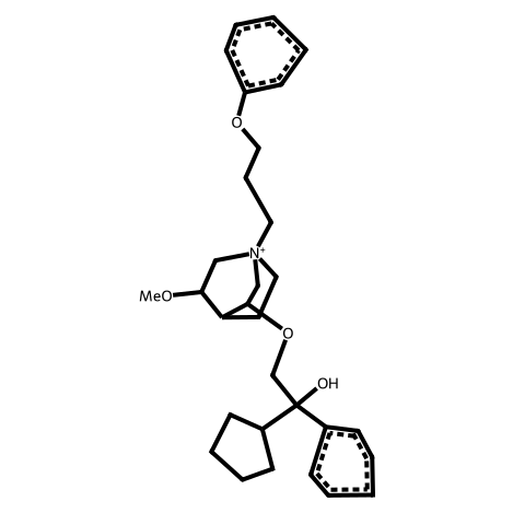 COC1C[N+]2(CCCOc3ccccc3)CCC1C(OCC(O)(c1ccccc1)C1CCCC1)C2